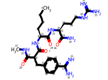 CCCC[C@H](NC(=O)C(Cc1ccc(C(=N)N)cc1)C(=O)NC)C(=O)N[C@@H](CCCNC(=N)N)C(N)=O